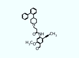 CC#Cc1cc(C=O)c(OC)cc1NC(=O)CCN1CCC(c2ccccc2-c2ccccc2)CC1